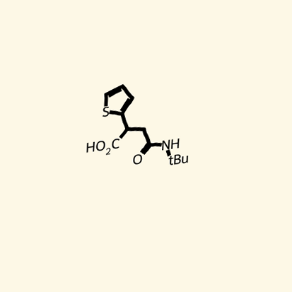 CC(C)(C)NC(=O)CC(C(=O)O)c1cccs1